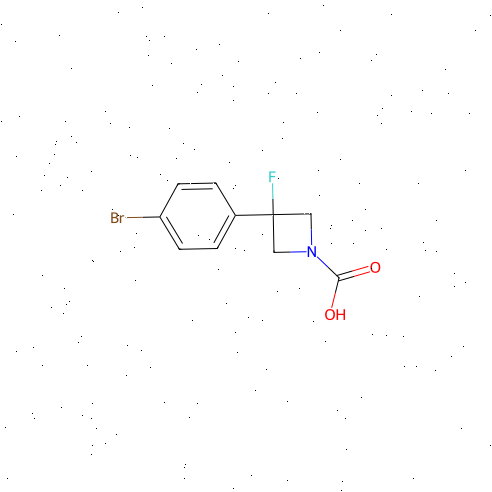 O=C(O)N1CC(F)(c2ccc(Br)cc2)C1